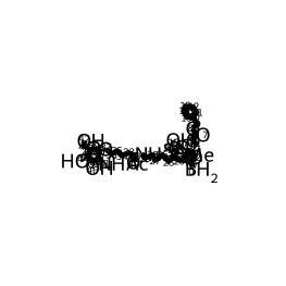 B[C@@H]1O[C@H](COC(=O)OCc2ccccc2)[C@H](OP(O)(=S)OC)C1CCCCCCCNC(=O)CCCCO[C@@H]1O[C@H](CO)[C@H](O)[C@H](O)[C@H]1NC(C)=O